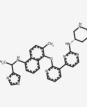 Cc1ccc2c(NC(C)c3cscn3)cccc2c1Oc1ncccc1-c1ccnc(N[C@H]2CCCNC2)n1